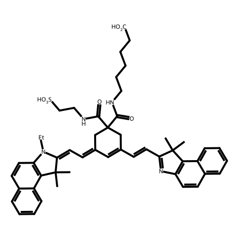 CCN1/C(=C/C=C2C=C(/C=C/C3=Nc4ccc5ccccc5c4C3(C)C)CC(C(=O)NCCCCCC(=O)O)(C(=O)NCCS(=O)(=O)O)C/2)C(C)(C)c2c1ccc1ccccc21